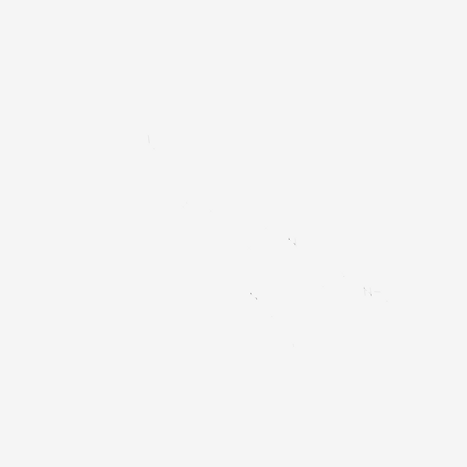 C=CCOc1ccc2c(c1)c(N=C=O)cn2-c1ccccc1C(N)=O